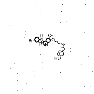 COc1cc2c(Nc3ccc(Br)cc3F)ncnc2cc1OCCCCN(C)COC(=O)/C=C\C(=O)O